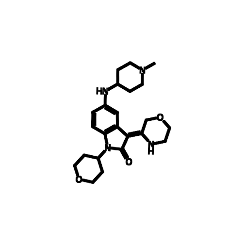 CN1CCC(Nc2ccc3c(c2)/C(=C2\COCCN2)C(=O)N3C2CCOCC2)CC1